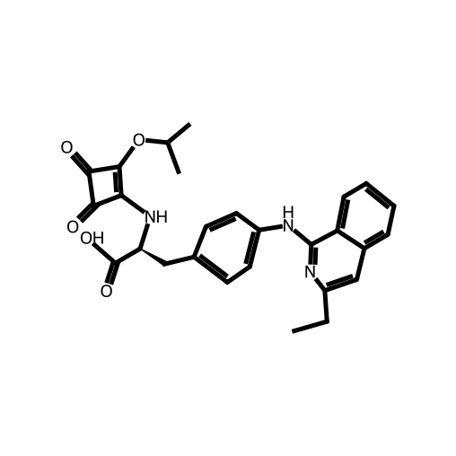 CCc1cc2ccccc2c(Nc2ccc(C[C@H](Nc3c(OC(C)C)c(=O)c3=O)C(=O)O)cc2)n1